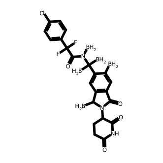 Bc1cc2c(cc1C(B)(B)N(B)C(=O)C(F)(F)c1ccc(Cl)cc1)C(B)N(C1CCC(=O)NC1=O)C2=O